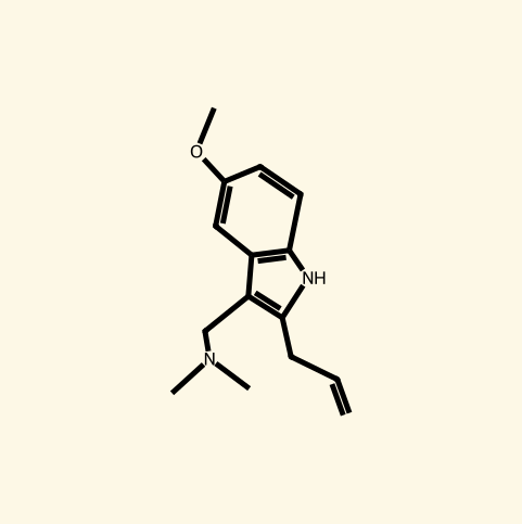 C=CCc1[nH]c2ccc(OC)cc2c1CN(C)C